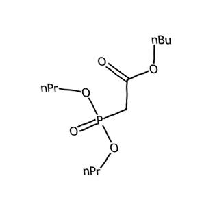 CCCCOC(=O)CP(=O)(OCCC)OCCC